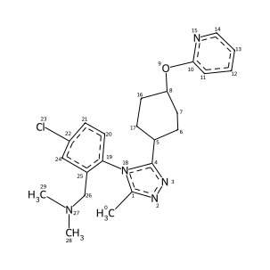 Cc1nnc(C2CCC(Oc3ccccn3)CC2)n1-c1ccc(Cl)cc1CN(C)C